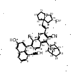 C#Cc1cccc2cc(O)cc(-c3ncc4c(N5CC6CCC(C5)N6)c(C#N)c(/C=C/[C@@]56CCCN5C[C@H](F)C6)nc4c3F)c12